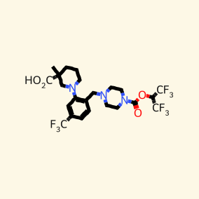 CC1(C(=O)O)CCCN(c2cc(C(F)(F)F)ccc2CN2CCN(C(=O)OC(C(F)(F)F)C(F)(F)F)CC2)C1